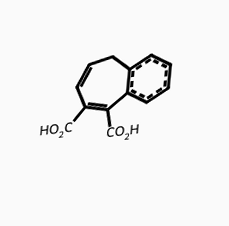 O=C(O)C1=C(C(=O)O)c2ccccc2CC=C1